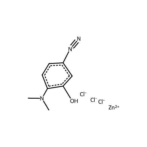 CN(C)c1ccc([N+]#N)cc1O.[Cl-].[Cl-].[Cl-].[Zn+2]